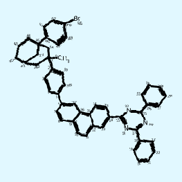 CC1(c2ccc(-c3ccc4ccc5cc(-c6nc(-c7ccccc7)nc(-c7ccccc7)n6)ccc5c4c3)cc2)CC2CCCC(c3ccc(Br)cc3)(C2)C1